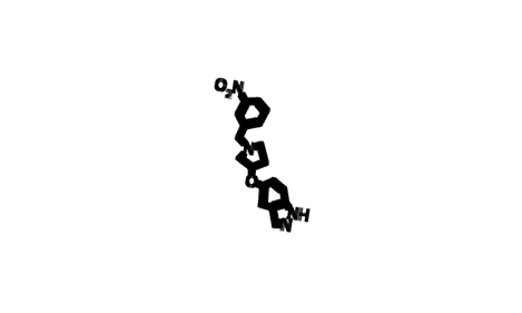 O=[N+]([O-])c1cccc(CN2CCC(Oc3ccc4[nH]ncc4c3)C2)c1